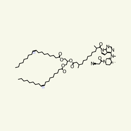 CCCCCCCC/C=C\CCCCCCCC(=O)OCC(COC(=O)CCCCCCC/C=C\CCCCCCCC)OC(=O)CC(C)CCCCCCCC(C)C(=O)n1ccc2c(N(C)[C@H]3CN(C(=O)CC#N)CC[C@H]3C)ncnc21